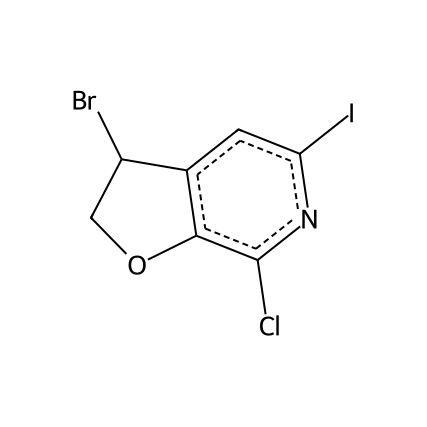 Clc1nc(I)cc2c1OCC2Br